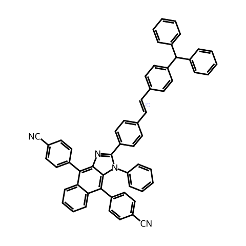 N#Cc1ccc(-c2c3ccccc3c(-c3ccc(C#N)cc3)c3c2nc(-c2ccc(/C=C/c4ccc(C(c5ccccc5)c5ccccc5)cc4)cc2)n3-c2ccccc2)cc1